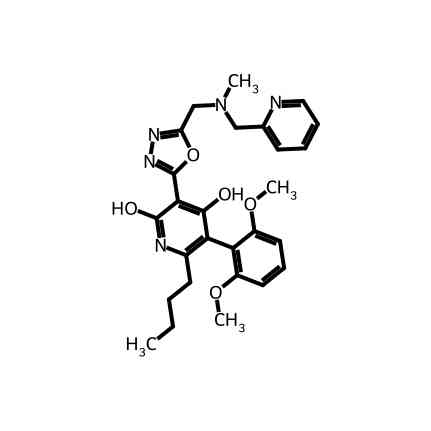 CCCCc1nc(O)c(-c2nnc(CN(C)Cc3ccccn3)o2)c(O)c1-c1c(OC)cccc1OC